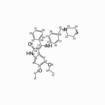 CCOc1cc2c(cc1OCC)C(=C(Nc1ccc(CN3CCSCC3)cc1)c1ccccc1)C(=O)N2